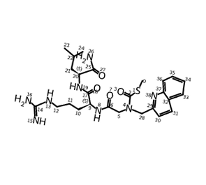 CSC(=O)N(CC(=O)N[C@@H](CCCNC(=N)N)C(=O)N[C@@H](CC(C)C)C(N)=O)Cc1ccc2ccccc2n1